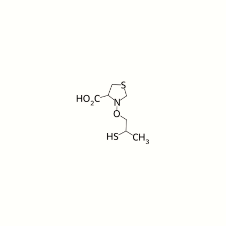 CC(S)CON1CSCC1C(=O)O